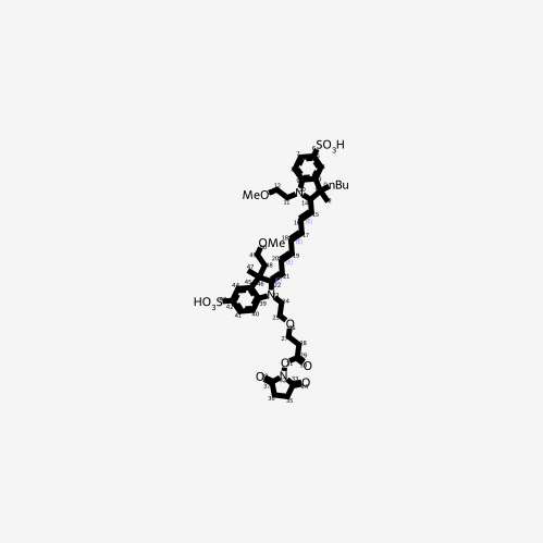 CCCCC1(C)c2cc(S(=O)(=O)O)ccc2N(CCOC)C1/C=C/C=C/C=C/C=C1/N(CCOCCC(=O)ON2C(=O)CCC2=O)c2ccc(S(=O)(=O)O)cc2C1(C)CCOC